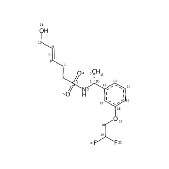 C[C@@H](NS(=O)(=O)CC/C=C/CO)c1cccc(OCC(F)F)c1